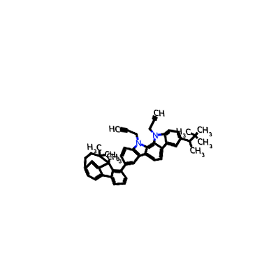 C#CCn1c2ccc(-c3cccc4c3C3(C)c5cc(ccc5-4)CCC3(C)C)cc2c2ccc3c4cc(C(C)C(C)(C)C)ccc4n(CC#C)c3c21